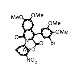 COC(=O)c1c(-c2cc(Br)c(OC)c(OC)c2)c2cc(OC)c(OC)cc2c(=O)n1-c1cccc([N+](=O)[O-])c1